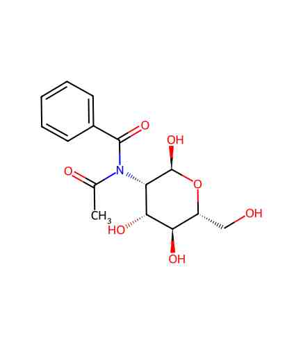 CC(=O)N(C(=O)c1ccccc1)[C@H]1[C@@H](O)[C@H](O)[C@@H](CO)O[C@@H]1O